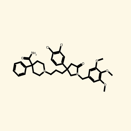 COc1cc(CN2CC(CCCN3CCC(C(N)=O)(c4ccccc4)CC3)(c3ccc(Cl)c(Cl)c3)CC2=O)cc(OC)c1OC